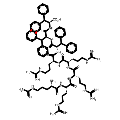 N=C(N)NCCC[C@H](NC(=O)[C@H](CCCNC(=N)N)NC(=O)[C@H](CCCNC(=N)N)NC(=O)[C@@H](N)CCCNC(=N)N)C(=O)N[C@@H](CCCNC(=N)N)C(=O)N[C@H](C(=O)N[C@H](C(=O)N[C@H](C(=O)O)C(c1ccccc1)c1ccccc1)C(c1ccccc1)c1ccccc1)C(c1ccccc1)c1ccccc1